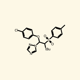 Cc1ccc(S(=O)(=O)C(C(Oc2ccc(Cl)cc2)n2cncn2)C(C)(C)C)cc1